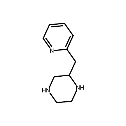 c1ccc(CC2CNCCN2)nc1